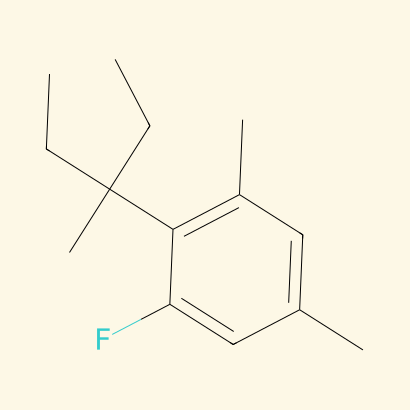 CCC(C)(CC)c1c(C)cc(C)cc1F